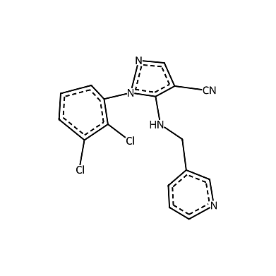 N#Cc1cnn(-c2cccc(Cl)c2Cl)c1NCc1cccnc1